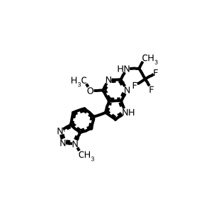 COc1nc(NC(C)C(F)(F)F)nc2[nH]cc(-c3ccc4nnn(C)c4c3)c12